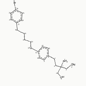 NC(CO)(CO)CCc1ccc(OCCCCc2ccc(Br)cc2)cc1